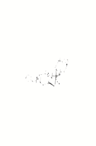 O=CN1CCn2c(cnc2N2CCOCC2)C1